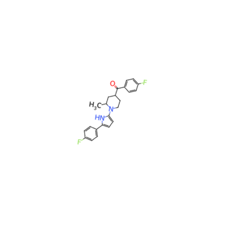 CC1CC(C(=O)c2ccc(F)cc2)CCN1c1ccc(-c2ccc(F)cc2)[nH]1